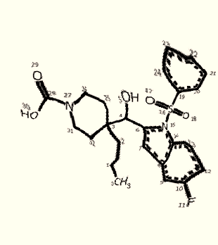 CCCC1(C(O)c2cc3cc(F)ccc3n2S(=O)(=O)c2ccccc2)CCN(C(=O)O)CC1